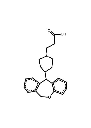 O=C(O)CCN1CCC(C2c3ccccc3COc3ccccc32)CC1